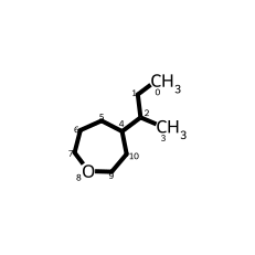 CCC(C)C1CCCOCC1